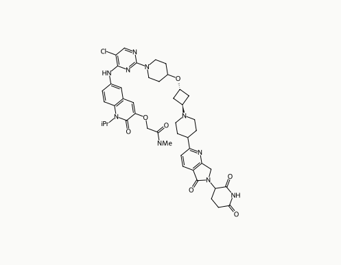 CNC(=O)COc1cc2cc(Nc3nc(N4CCC(O[C@H]5C[C@H](N6CCC(c7ccc8c(n7)CN(C7CCC(=O)NC7=O)C8=O)CC6)C5)CC4)ncc3Cl)ccc2n(C(C)C)c1=O